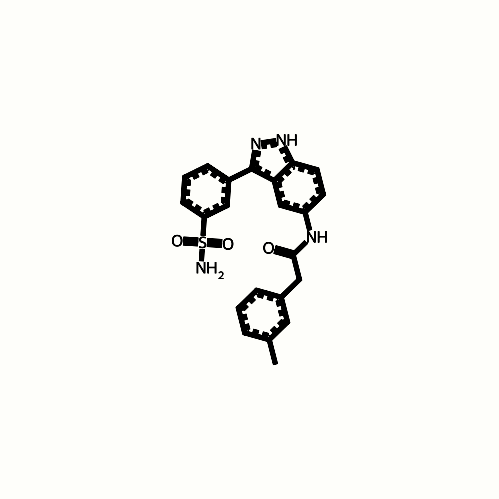 Cc1cccc(CC(=O)Nc2ccc3[nH]nc(-c4cccc(S(N)(=O)=O)c4)c3c2)c1